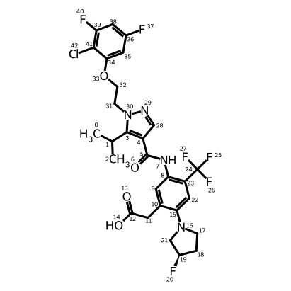 CC(C)c1c(C(=O)Nc2cc(CC(=O)O)c(N3CC[C@@H](F)C3)cc2C(F)(F)F)cnn1CCOc1cc(F)cc(F)c1Cl